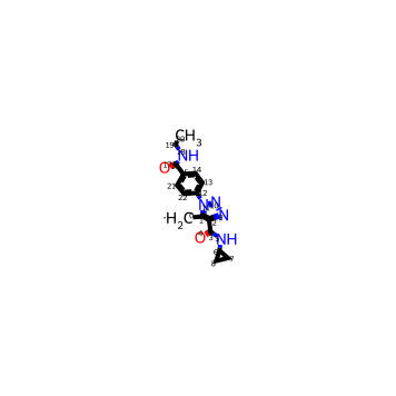 [CH2]c1c(C(=O)NC2CC2)nnn1-c1ccc(C(=O)NCC)cc1